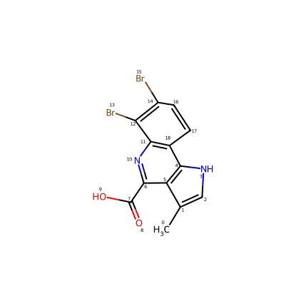 Cc1c[nH]c2c1c(C(=O)O)nc1c(Br)c(Br)ccc12